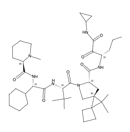 CCC[C@H](NC(=O)[C@@H]1C[C@@]2(CN1C(=O)[C@@H](NC(=O)[C@@H](NC(=O)[C@H]1CCCCN1C)C1CCCCC1)C(C)(C)C)C(C)(C)C21CCC1)C(=O)C(=O)NC1CC1